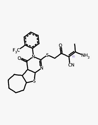 C/C(N)=C(/C#N)C(=O)CSC1=NC2SC3CCCCCC3C2C(=O)N1c1ccccc1C(F)(F)F